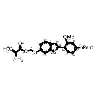 C=C(C)C(=O)OCOc1ccc2cc(-c3ccc(CCCCC)cc3OC)sc2c1